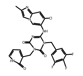 Cc1cn2cc(Nc3nc(=O)n(Cc4ccc[nH]c4=O)c(=O)n3Cc3cc(F)c(F)c(F)c3)c(Cl)cc2n1